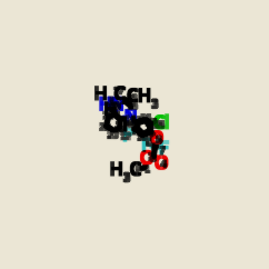 CCOC(=O)C(F)(F)Oc1cc(F)c(N2CC(C)(C)N[C@H]3CCCC[C@@H]32)cc1Cl